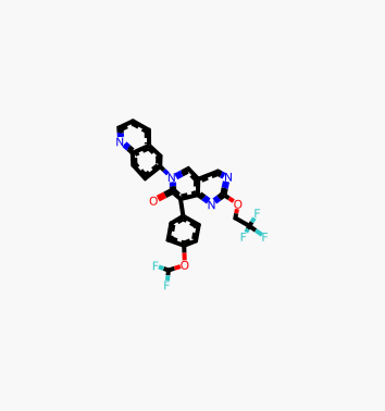 O=c1c(-c2ccc(OC(F)F)cc2)c2nc(OCC(F)(F)F)ncc2cn1-c1ccc2ncccc2c1